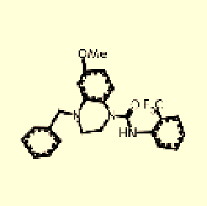 COc1ccc2c(c1)N(Cc1ccccc1)CCN2C(=O)Nc1ccccc1C(F)(F)F